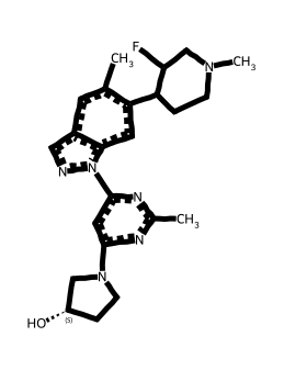 Cc1nc(N2CC[C@H](O)C2)cc(-n2ncc3cc(C)c(C4CCN(C)CC4F)cc32)n1